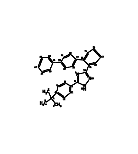 CC(C)(C)c1ccc(-c2nc(-c3ccccc3-c3ccc(-c4ccccc4)cc3)n[nH]2)cc1